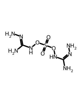 NN=C(N)NOS(=O)(=O)ONC(N)=NN